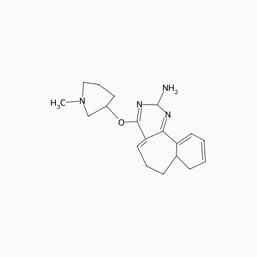 CN1CCCC(OC2=NC(N)N=C3C2=CCCC2CC=CC=C32)C1